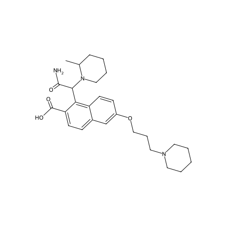 CC1CCCCN1C(C(N)=O)c1c(C(=O)O)ccc2cc(OCCCN3CCCCC3)ccc12